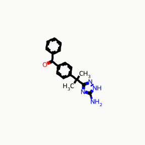 CC(C)(c1ccc(C(=O)c2ccccc2)cc1)c1n[nH]c(N)n1